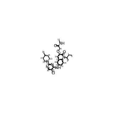 CCC(C)n1c(=O)c(OCC(=O)NC)cc2cc(Nc3nc(N4CCC(C)CC4)ncc3Cl)ccc21